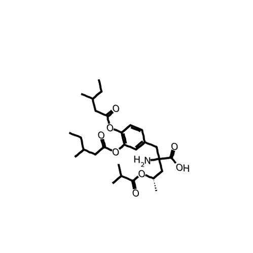 CCC(C)CC(=O)Oc1ccc(CC(N)(C[C@H](C)OC(=O)C(C)C)C(=O)O)cc1OC(=O)CC(C)CC